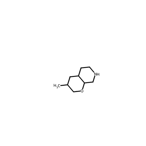 CC1COC2CNCCC2C1